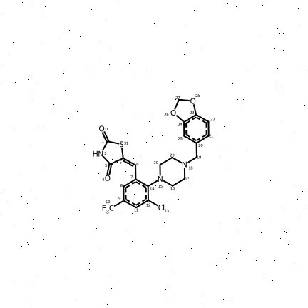 O=C1NC(=O)C(=Cc2cc(C(F)(F)F)cc(Cl)c2N2CCN(Cc3ccc4c(c3)OCO4)CC2)S1